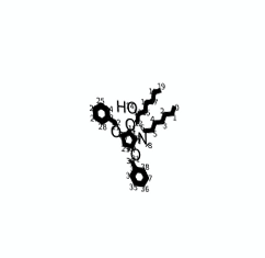 CCCCCCCN(C)[C@H]1[C@H](OCC(O)CCCCC)[C@H](OCc2ccccc2)C[C@@H]1OCc1ccccc1